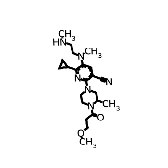 CNCCN(C)c1cc(C#N)c(N2CCN(C(=O)CCOC)C(C)C2)nc1C1CC1